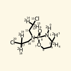 [2H]N1C([2H])([2H])CCOP1(=O)N(CC([2H])([2H])Cl)CC([2H])([2H])Cl